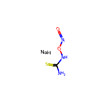 NC(=S)NON=O.[NaH]